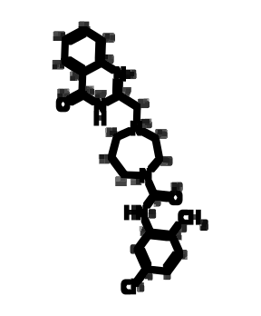 Cc1ccc(Cl)cc1NC(=O)N1CCCN(Cc2nc3ccccc3c(=O)[nH]2)CC1